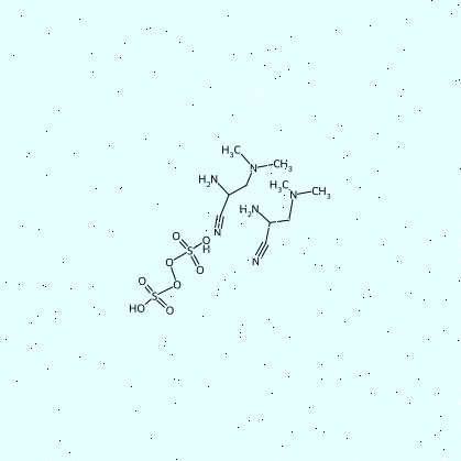 CN(C)CC(N)C#N.CN(C)CC(N)C#N.O=S(=O)(O)OOS(=O)(=O)O